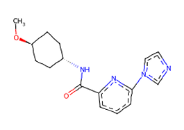 CO[C@H]1CC[C@H](NC(=O)c2cccc(-n3ccnc3)n2)CC1